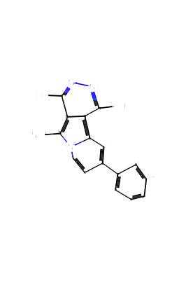 Cc1nnc(C)c2c1c(C#N)n1ccc(-c3ccccc3)cc21